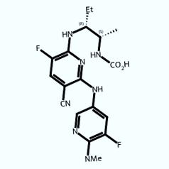 CC[C@@H](Nc1nc(Nc2cnc(NC)c(F)c2)c(C#N)cc1F)[C@H](C)NC(=O)O